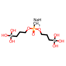 CP(=O)(OCCC[Si](O)(O)O)OCCC[Si](O)(O)O.[NaH]